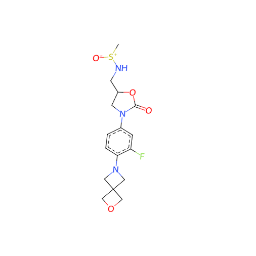 C[S+]([O-])NCC1CN(c2ccc(N3CC4(COC4)C3)c(F)c2)C(=O)O1